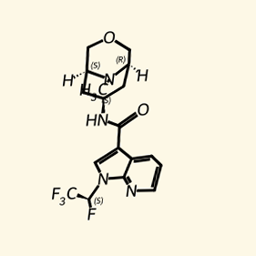 CN1[C@@H]2COC[C@H]1C[C@@H](NC(=O)c1cn([C@@H](F)C(F)(F)F)c3ncccc13)C2